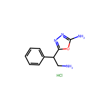 Cl.NCC(c1ccccc1)c1nnc(N)o1